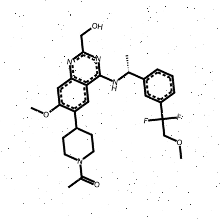 COCC(F)(F)c1cccc([C@@H](C)Nc2nc(CO)nc3cc(OC)c(C4CCN(C(C)=O)CC4)cc23)c1